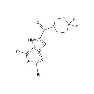 O=C(c1cc2cc(Br)cc(Cl)c2[nH]1)N1CCC(F)(F)CC1